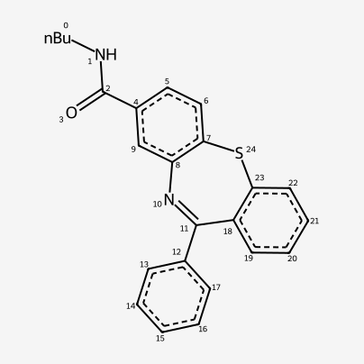 CCCCNC(=O)c1ccc2c(c1)N=C(c1ccccc1)c1ccccc1S2